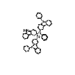 C1=CC(N(c2ccccc2)c2ccc3c(c2)c2ccccc2n3-c2ccccc2)(N(c2ccccc2)c2ccc3c(c2)c2ccccc2n3-c2ccccc2)Cc2c1[nH]c1ccccc21